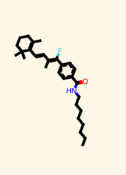 CCCCCCCCNC(=O)c1ccc(/C(F)=C(C)/C=C/C2=C(C)CCCC2(C)C)cc1